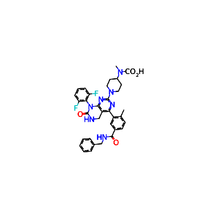 Cc1ccc(C(=O)NCc2ccccc2)cc1-c1nc(N2CCC(N(C)C(=O)O)CC2)nc2c1CNC(=O)N2c1c(F)cccc1F